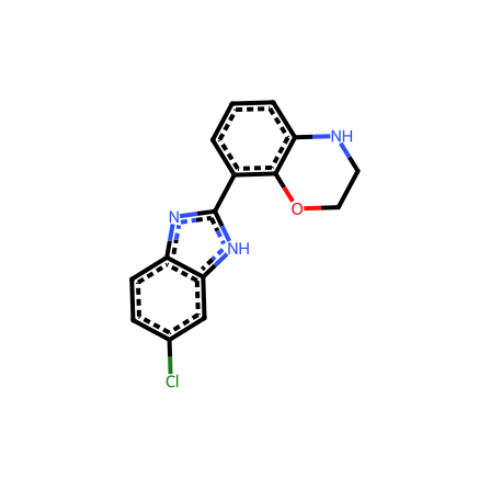 Clc1ccc2nc(-c3cccc4c3OCCN4)[nH]c2c1